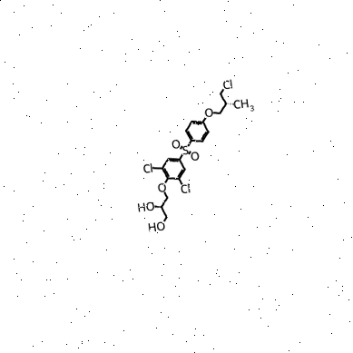 C[C@@H](CCl)COc1ccc(S(=O)(=O)c2cc(Cl)c(OC[C@H](O)CO)c(Cl)c2)cc1